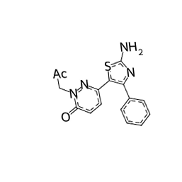 CC(=O)Cn1nc(-c2sc(N)nc2-c2ccccc2)ccc1=O